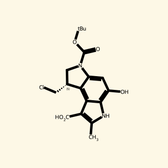 Cc1[nH]c2c(O)cc3c(c2c1C(=O)O)[C@H](CCl)CN3C(=O)OC(C)(C)C